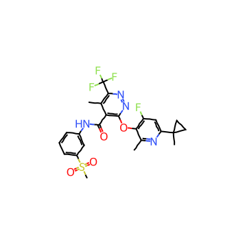 Cc1nc(C2(C)CC2)cc(F)c1Oc1nnc(C(F)(F)F)c(C)c1C(=O)Nc1cccc(S(C)(=O)=O)c1